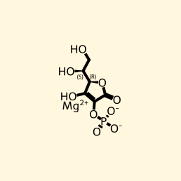 O=C1O[C@H]([C@@H](O)CO)C(O)=C1OP(=O)([O-])[O-].[Mg+2]